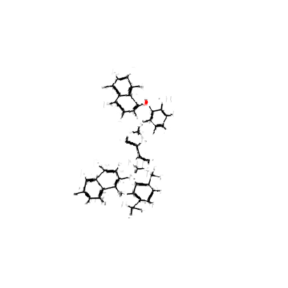 Cc1c(F)c(F)c(F)c(N(c2nc(C3=CSC(N(c4c(F)c(C(F)(F)F)c(F)c(F)c4C(F)(F)F)c4c(F)c(F)c5c(F)c(F)c(F)c(F)c5c4F)N3)cs2)c2c(F)c(F)c3c(F)c(F)c(F)c(F)c3c2F)c1F